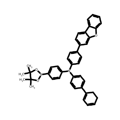 CC1(C)OB(c2ccc(N(c3ccc(C4=CC=CCC4)cc3)c3ccc(-c4ccc5c(c4)oc4ccccc45)cc3)cc2)OC1(C)C